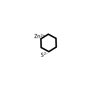 C1CCCCC1.[S-2].[Zn+2]